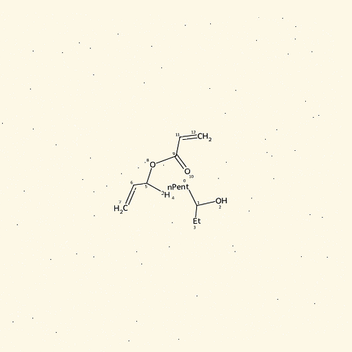 CCCCCC(O)CC.[2H]C(C=C)OC(=O)C=C